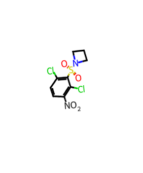 O=[N+]([O-])c1ccc(Cl)c(S(=O)(=O)N2CCC2)c1Cl